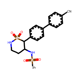 CC(C)S(=O)(=O)NC1CCNS(=O)(=O)C1c1ccc(-c2ccc(C#N)cc2)cc1